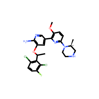 COc1ccc(N2CCNC[C@@H]2C)nc1-c1cnc(N)c(OC(C)c2c(Cl)ccc(F)c2Cl)c1